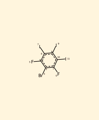 Fc1c(Br)c(F)c(I)c(I)c1I